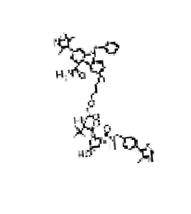 Cc1ncsc1-c1ccc(CNC(=O)[C@@H]2C[C@@H](O)CN2C(=O)C(NC(=O)COCCCOc2ccc3c(c2)c2c(C(N)=O)cc(-c4c(C)noc4C)cc2n3Cc2ccccc2)C(C)(C)C)cc1